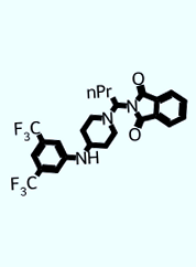 CCCC(N1CCC(Nc2cc(C(F)(F)F)cc(C(F)(F)F)c2)CC1)N1C(=O)c2ccccc2C1=O